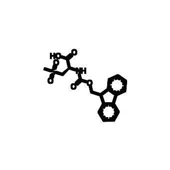 CS(=O)(=O)C[C@H](NC(=O)OCC1c2ccccc2-c2ccccc21)C(=O)O